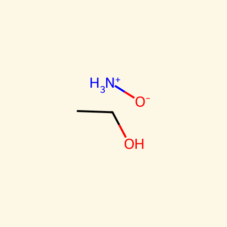 CCO.[NH3+][O-]